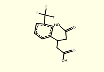 O=C(O)CC(CC(=O)O)c1cccc(C(F)(F)F)c1